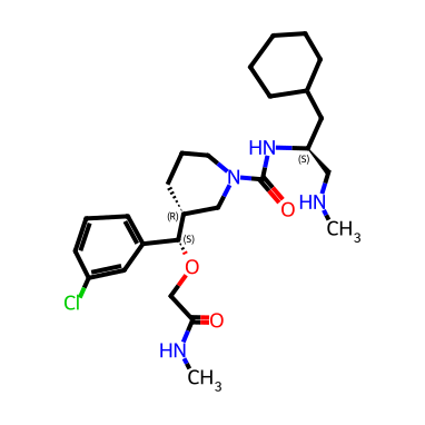 CNC[C@H](CC1CCCCC1)NC(=O)N1CCC[C@@H]([C@H](OCC(=O)NC)c2cccc(Cl)c2)C1